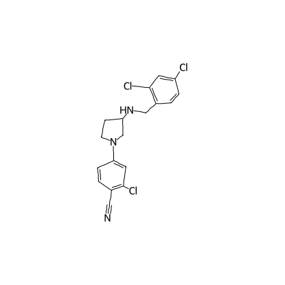 N#Cc1ccc(N2CCC(NCc3ccc(Cl)cc3Cl)C2)cc1Cl